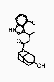 CC(CC(=O)N1C2CC3CC1CC(O)(C3)C2)c1c[nH]c2cccc(Cl)c12